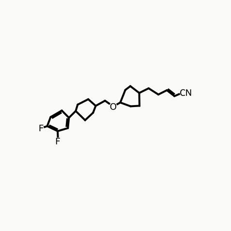 N#CC=CCCC1CCC(OCC2CCC(c3ccc(F)c(F)c3)CC2)CC1